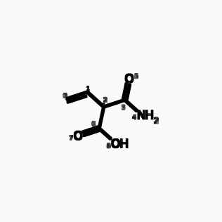 C=C[C](C(N)=O)C(=O)O